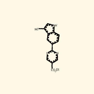 CCOC(=O)c1cnc(-c2ccc3[nH]cc(C#N)c3c2)nc1